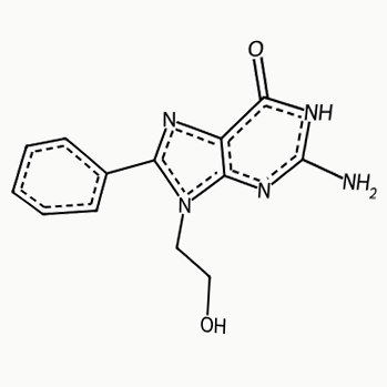 Nc1nc2c(nc(-c3ccccc3)n2CCO)c(=O)[nH]1